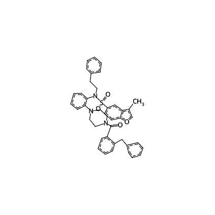 Cc1coc2ccc(S(=O)(=O)N(CCc3ccccc3)c3ccccc3N3CCN(C(=O)c4ccccc4Cc4ccccc4)CC3)cc12